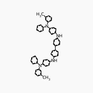 Cc1cccc(N(c2ccccc2)c2ccc(Nc3ccc(-c4ccc(Nc5ccc(N(c6ccccc6)c6cccc(C)c6)cc5)cc4)cc3)cc2)c1